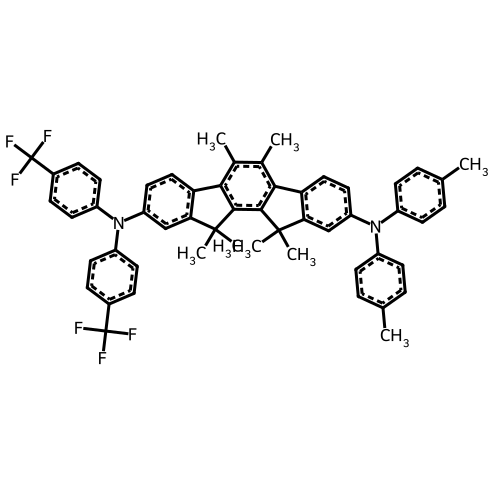 Cc1ccc(N(c2ccc(C)cc2)c2ccc3c(c2)C(C)(C)c2c-3c(C)c(C)c3c2C(C)(C)c2cc(N(c4ccc(C(F)(F)F)cc4)c4ccc(C(F)(F)F)cc4)ccc2-3)cc1